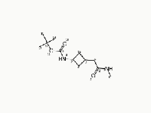 CNC(=O)CC1CC(NC(=O)OC(C)(C)C)C1